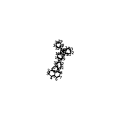 Cc1cccc2cccc(-c3ccc(-c4ccc5c(c4)c4ccccc4n5-c4ccccc4)cc3)c12